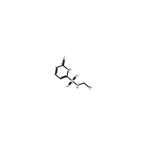 CC(C)CNS(=O)(=O)c1cccc(=O)[nH]1